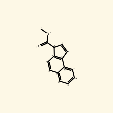 COC(=O)C1C=Cc2c1ccc1ccccc21